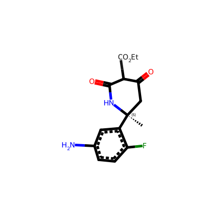 CCOC(=O)C1C(=O)C[C@@](C)(c2cc(N)ccc2F)NC1=O